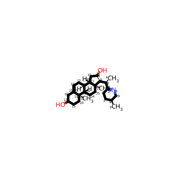 C[C@H]1CCC([C@@H](C)[C@H]2C(O)C[C@H]3[C@@H]4CC=C5CC(O)CC[C@]5(C)[C@H]4CC[C@]23C)=NC1